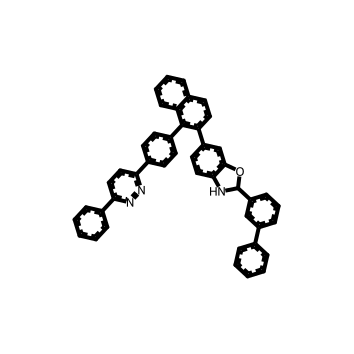 c1ccc(-c2cccc(C3Nc4ccc(-c5ccc6ccccc6c5-c5ccc(-c6ccc(-c7ccccc7)nn6)cc5)cc4O3)c2)cc1